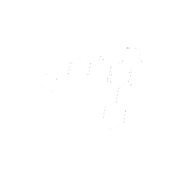 C1=C(c2nc3c(c(Nc4ccc(C5CCC5)cc4)n2)COC3)CCOC1